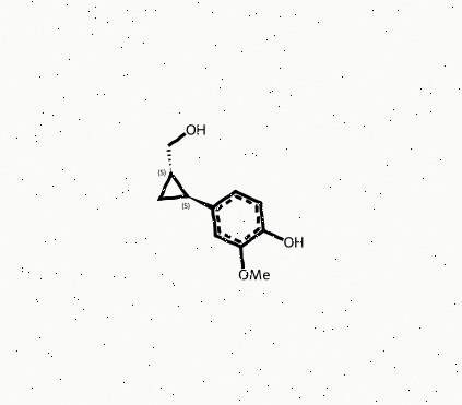 COc1cc([C@H]2C[C@@H]2CO)ccc1O